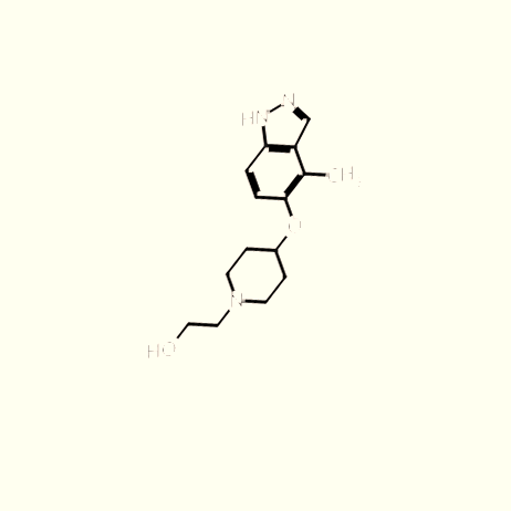 Cc1c(OC2CCN(CCO)CC2)ccc2[nH]ncc12